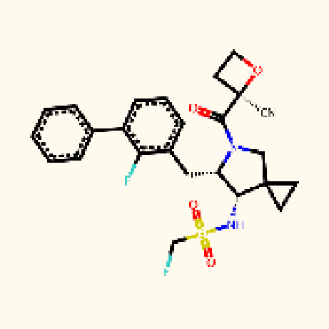 N#C[C@]1(C(=O)N2CC3(CC3)[C@H](NS(=O)(=O)CF)[C@@H]2Cc2cccc(-c3ccccc3)c2F)CCO1